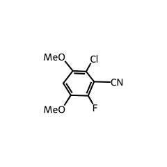 COc1cc(OC)c(Cl)c(C#N)c1F